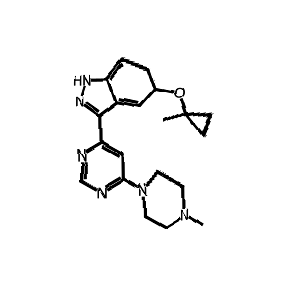 CN1CCN(c2cc(-c3n[nH]c4c3=CC(OC3(C)CC3)CC=4)ncn2)CC1